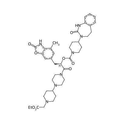 CCOC(=O)CN1CCC(N2CCN(C(=O)[C@@H](Cc3cc(C)c4[nH]c(=O)oc4c3)OC(=O)N3CCC(N4CCc5ccccc5NC4=O)CC3)CC2)CC1